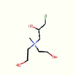 C[N+](CCO)(CCO)CC(O)CCl